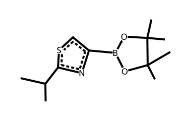 CC(C)c1nc(B2OC(C)(C)C(C)(C)O2)cs1